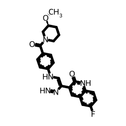 CO[C@H]1CCCN(C(=O)c2ccc(N/C=C(\N=N)c3cc4cc(F)ccc4[nH]c3=O)cc2)C1